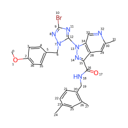 COc1ccc(Cn2nc(Br)nc2-n2nc(C(=O)NCc3ccc(C)cc3C)c3cc(C)ncc32)cc1